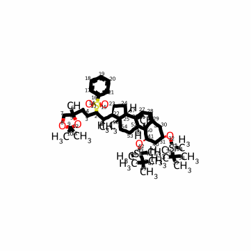 C[C@H](C(CCC1(C)COC(C)(C)O1)S(=O)(=O)c1ccccc1)[C@H]1CC[C@H]2C3=CC=C4C[C@@H](O[Si](C)(C)C(C)(C)C)C[C@H](O[Si](C)(C)C(C)(C)C)[C@]4(C)[C@H]3CC[C@]12C